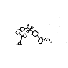 Nc1cccc(-c2ccc(S(=O)(=O)Nc3ccc4c(c3)N(C(=O)C3CC3)CCC4)cc2)c1